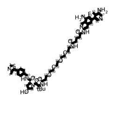 Cc1ncsc1-c1ccc(CNC(=O)[C@@H]2C[C@@H](O)CN2C(=O)[C@@H](NC(=O)CCOCCOCCOCCOCCNC(=O)CCCC(=O)Nc2cc3cc(-c4cncc(N)c4C)c(F)c(N)c3cn2)C(C)(C)C)cc1